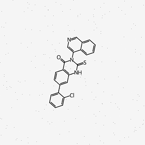 O=c1c2ccc(-c3ccccc3Cl)cc2[nH]c(=S)n1-c1cncc2ccccc12